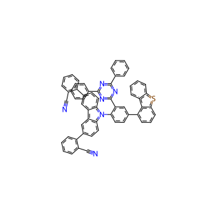 N#Cc1ccccc1-c1ccc2c(c1)c1cc(-c3ccccc3C#N)ccc1n2-c1ccc(-c2cccc3sc4ccccc4c23)cc1-c1nc(-c2ccccc2)nc(-c2ccccc2)n1